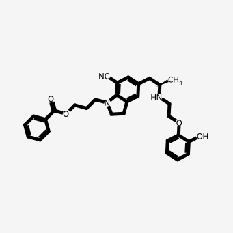 C[C@H](Cc1cc(C#N)c2c(c1)CCN2CCCOC(=O)c1ccccc1)NCCOc1ccccc1O